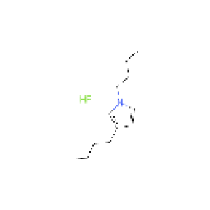 CCCCc1ccn(CCCC)c1.F